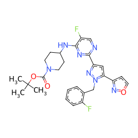 CC(C)(C)OC(=O)N1CCC(Nc2nc(-c3cc(-c4ccon4)n(Cc4ccccc4F)n3)ncc2F)CC1